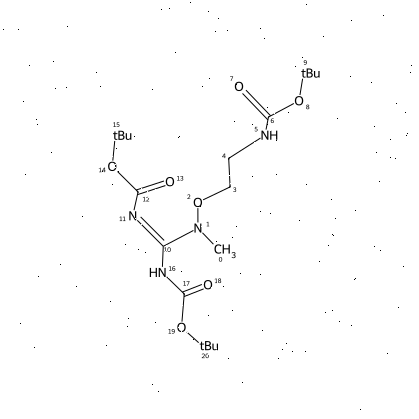 CN(OCCNC(=O)OC(C)(C)C)/C(=N\C(=O)OC(C)(C)C)NC(=O)OC(C)(C)C